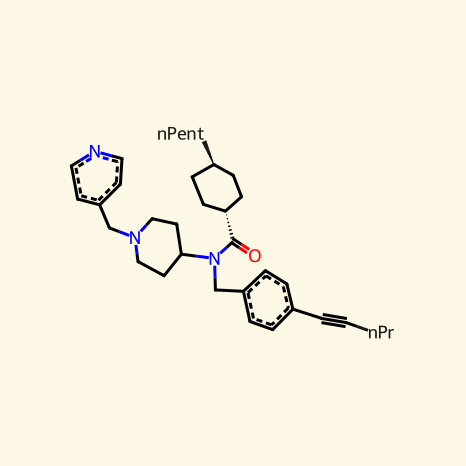 CCCC#Cc1ccc(CN(C(=O)[C@H]2CC[C@H](CCCCC)CC2)C2CCN(Cc3ccncc3)CC2)cc1